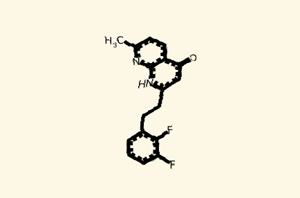 Cc1ccc2c(=O)cc(CCc3cccc(F)c3F)[nH]c2n1